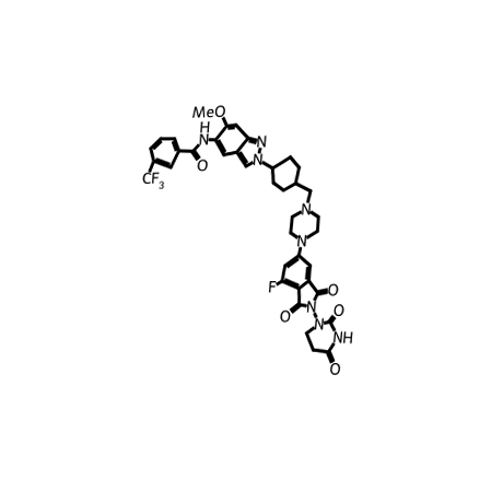 COc1cc2nn(C3CCC(CN4CCN(c5cc(F)c6c(c5)C(=O)N(N5CCC(=O)NC5=O)C6=O)CC4)CC3)cc2cc1NC(=O)c1cccc(C(F)(F)F)c1